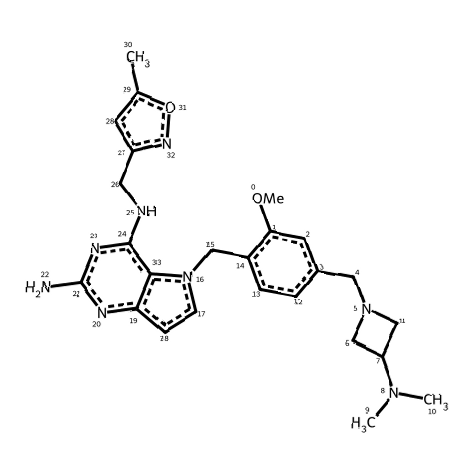 COc1cc(CN2CC(N(C)C)C2)ccc1Cn1ccc2nc(N)nc(NCc3cc(C)on3)c21